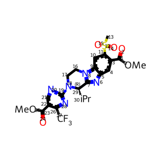 COC(=O)c1cc2nc3n(c2cc1S(C)(=O)=O)CCN(c1ncc(C(=O)OC)c(C(F)(F)F)n1)[C@@H]3C(C)C